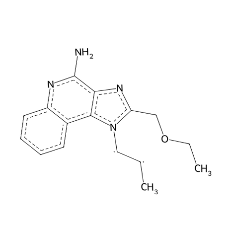 C[CH][CH]n1c(COCC)nc2c(N)nc3ccccc3c21